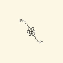 CC(C)CCCCCOC(=O)C(Cl)(Cl)C(=O)OCCCCCC(C)C